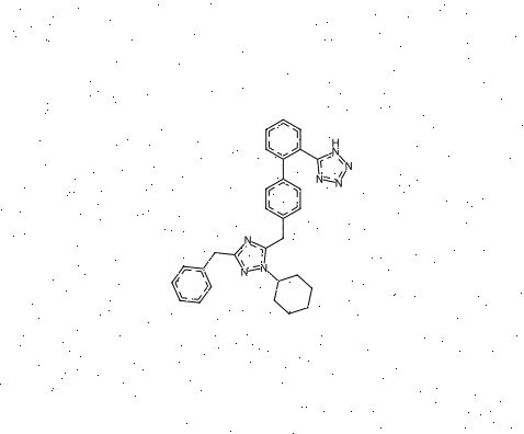 c1ccc(Cc2nc(Cc3ccc(-c4ccccc4-c4nnn[nH]4)cc3)n(C3CCCCC3)n2)cc1